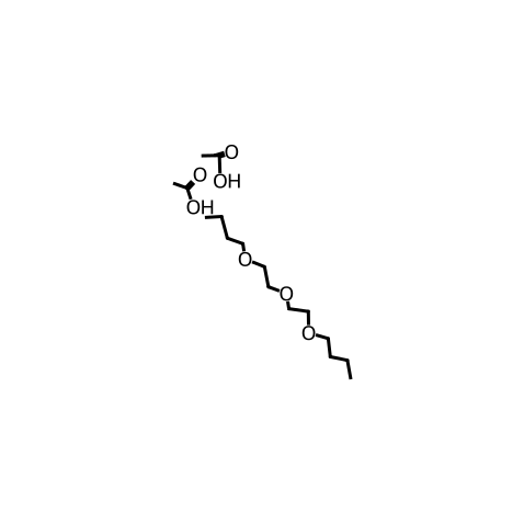 CC(=O)O.CC(=O)O.CCCCOCCOCCOCCCC